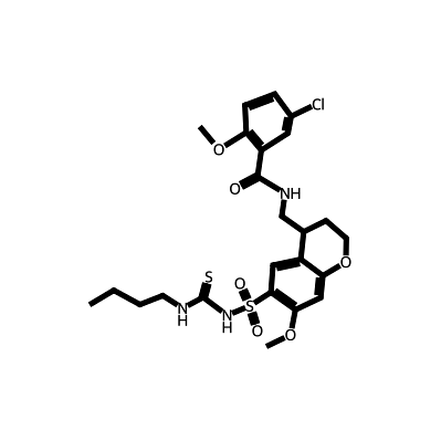 CCCCNC(=S)NS(=O)(=O)c1cc2c(cc1OC)OCCC2CNC(=O)c1cc(Cl)ccc1OC